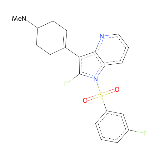 CNC1CC=C(c2c(F)n(S(=O)(=O)c3cccc(F)c3)c3cccnc23)CC1